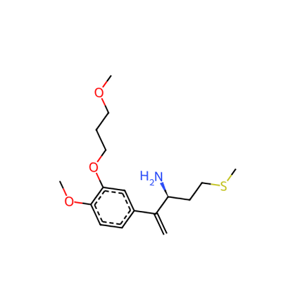 C=C(c1ccc(OC)c(OCCCOC)c1)[C@@H](N)CCSC